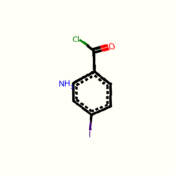 N.O=C(Cl)c1ccc(I)cc1